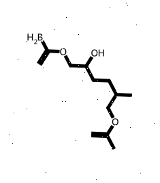 BC(=C)OCC(O)CCC(C)COC(=C)C